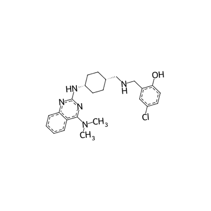 CN(C)c1nc(N[C@H]2CC[C@@H](CNCc3cc(Cl)ccc3O)CC2)nc2ccccc12